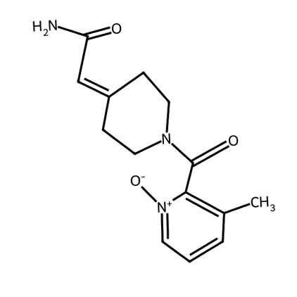 Cc1ccc[n+]([O-])c1C(=O)N1CCC(=CC(N)=O)CC1